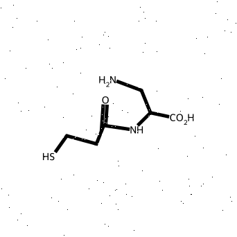 NCC(NC(=O)CCS)C(=O)O